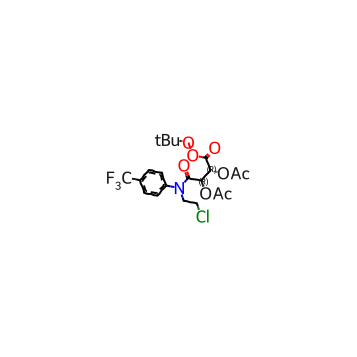 CC(=O)O[C@@H](C(=O)OOC(C)(C)C)[C@@H](OC(C)=O)C(=O)N(CCCl)c1ccc(C(F)(F)F)cc1